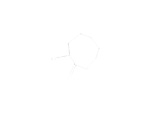 C[CH]C1CCCCCCC1=O